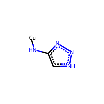 [Cu][NH]c1c[nH]nn1